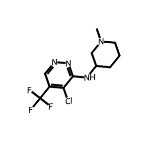 CN1CCCC(Nc2nncc(C(F)(F)F)c2Cl)C1